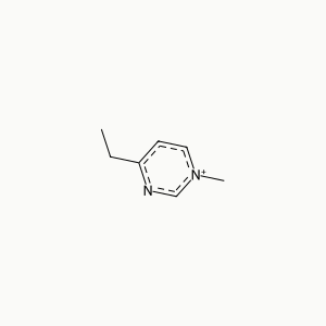 CCc1cc[n+](C)cn1